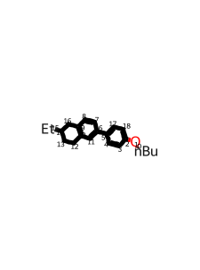 CCCCOc1ccc(-c2ccc3c(c2)CCC(CC)C3)cc1